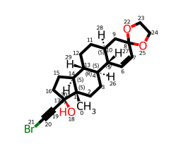 C[C@]12CC[C@@H]3[C@H]4C=CC5(C[C@@H]4CC[C@H]3[C@@H]1CC[C@@]2(O)C#CBr)OCCO5